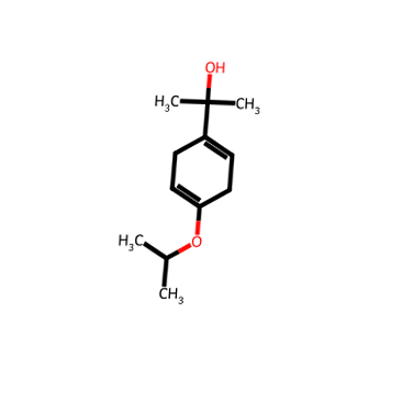 CC(C)OC1=CCC(C(C)(C)O)=CC1